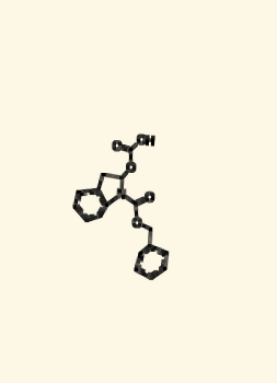 O=C(O)OC1Cc2ccccc2N1C(=O)OCc1ccccc1